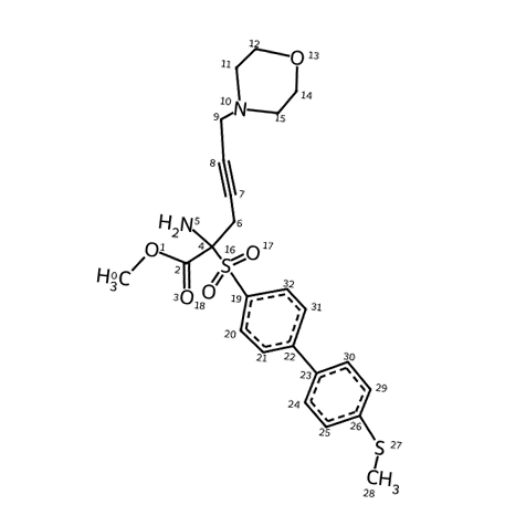 COC(=O)C(N)(CC#CCN1CCOCC1)S(=O)(=O)c1ccc(-c2ccc(SC)cc2)cc1